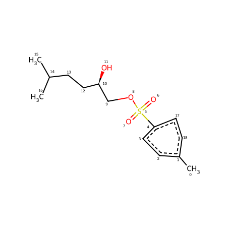 Cc1ccc(S(=O)(=O)OC[C@H](O)CCC(C)C)cc1